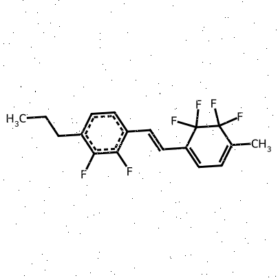 CCCc1ccc(/C=C/C2=CC=C(C)C(F)(F)C2(F)F)c(F)c1F